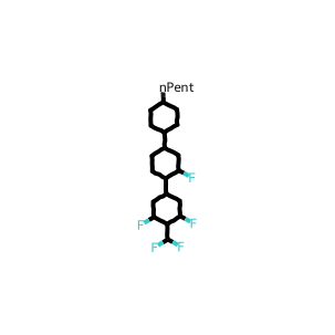 CCCCCC1CCC(C2CCC(C3CC(F)C(C(F)F)C(F)C3)C(F)C2)CC1